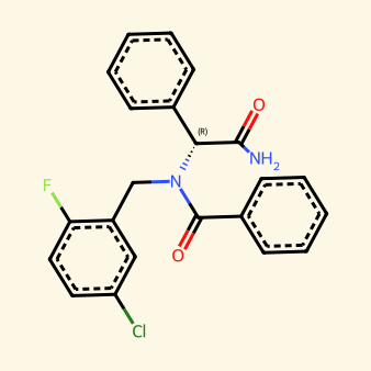 NC(=O)[C@@H](c1ccccc1)N(Cc1cc(Cl)ccc1F)C(=O)c1ccccc1